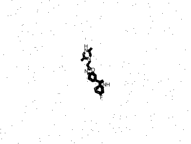 CC1CN(CCc2nc3ccc(-c4c[nH]c5cc(F)ccc45)cc3o2)C(C)CN1